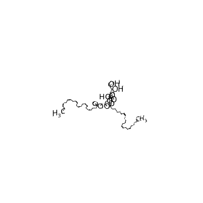 CC/C=C\C/C=C\C/C=C\C/C=C\C/C=C\C/C=C\CCC(=O)OC[C@H](COP(=O)(O)OC[C@@H](O)CO)OC(=O)CCCCC/C=C\C/C=C\C/C=C\C/C=C\CCCCC